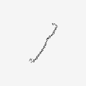 BB=BB=BB=BB=BB=BOCC